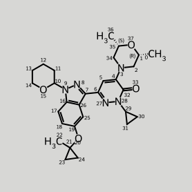 C[C@@H]1CN(c2cc(-c3nn(C4CCCCO4)c4ccc(OC5(C)CC5)cc34)nn(C3CC3)c2=O)C[C@H](C)O1